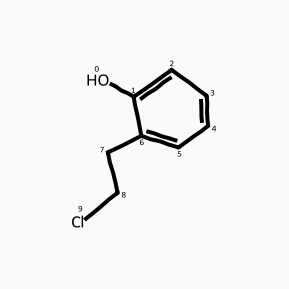 Oc1ccccc1CCCl